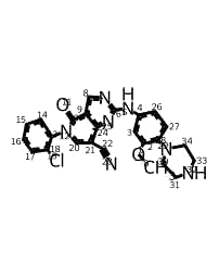 COc1cc(Nc2ncc3c(=O)n(-c4ccccc4Cl)cc(C#N)c3n2)ccc1N1CCNCC1